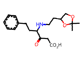 CC1(C)OCC(CCNC(CCc2ccccc2)C(=O)CC(=O)O)O1